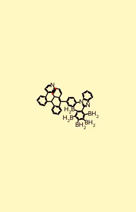 Bc1c(B)c(B)c(-c2nc3ccccc3n2-c2ccc(C3=C4C=CC=CC4C(c4ccccc4-c4ccncc4)c4ccccc43)cc2)c(B)c1B